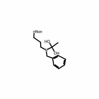 CCCCCCCCCCCCN(Cc1ccccc1)C(C)(O)O